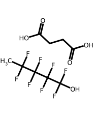 CC(F)(F)C(F)(F)C(F)(F)C(O)(F)F.O=C(O)CCC(=O)O